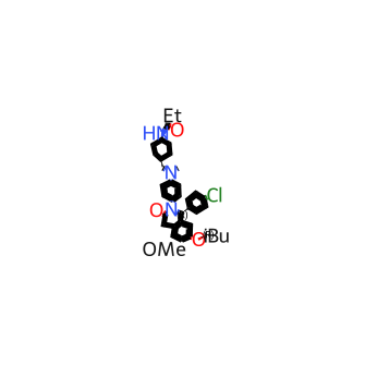 CCC(=O)N[C@H]1CC[C@H](CN(C)c2ccc(N3C(=O)Cc4cc(OC)c(O[C@H](C)CC)cc4[C@H]3c3ccc(Cl)cc3)cc2)CC1